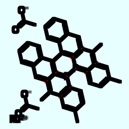 CC(=O)[O-].CC(=O)[O-].Cc1ccc(P(c2ccc(C)cc2)c2ccc3ccccc3c2-c2c(P(c3ccc(C)cc3)c3ccc(C)cc3)ccc3ccccc23)cc1.[Ru+2]